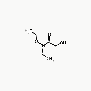 CCON(CC)C(=O)[CH]O